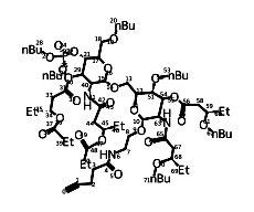 C#CCCC(=O)NCCO[C@H]1OC(CO[C@@H]2OC(COCCCC)[C@@H](OP(=O)(OCCCC)OCCCC)C(OC(=O)C[C@@H](CC)OC(=O)CC)[C@@H]2NC(=O)C[C@@H](CC)OC(=O)CC)[C@@H](OCCCC)C(OC(=O)C[C@@H](CC)OCCCC)C1NC(=O)C[C@@H](CC)OCCCC